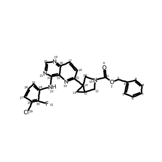 O=C(OCc1ccccc1)N1CC2CC2(c2ccc3ncnc(Nc4cccc(Cl)c4F)c3n2)C1